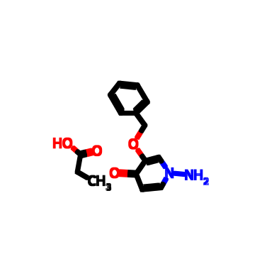 CCC(=O)O.Nn1ccc(=O)c(OCc2ccccc2)c1